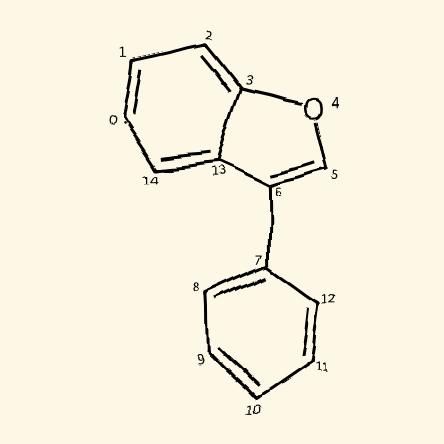 [c]1ccc2occ(-c3ccccc3)c2c1